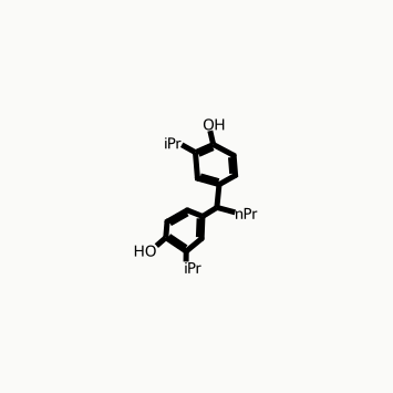 CCCC(c1ccc(O)c(C(C)C)c1)c1ccc(O)c(C(C)C)c1